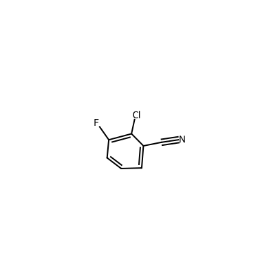 N#Cc1cccc(F)c1Cl